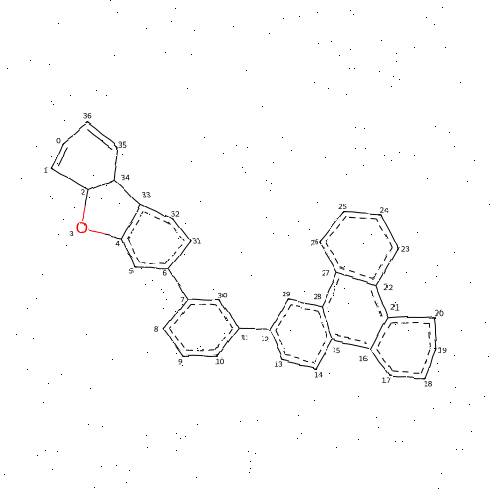 C1=CC2Oc3cc(-c4cccc(-c5ccc6c7ccccc7c7ccccc7c6c5)c4)ccc3C2C=C1